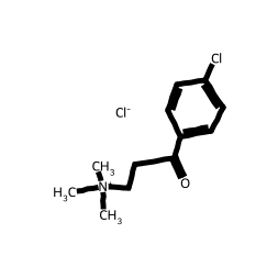 C[N+](C)(C)CCC(=O)c1ccc(Cl)cc1.[Cl-]